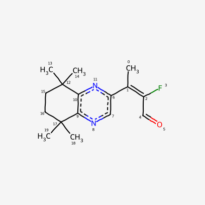 C/C(=C(\F)C=O)c1cnc2c(n1)C(C)(C)CCC2(C)C